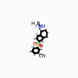 BNC[C@@H]1CCCc2cc(S(=O)(=O)c3cccc(C#N)c3)ccc21